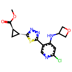 COC(=O)[C@@H]1C[C@H]1c1nnc(-c2cnc(Cl)cc2NC2COC2)s1